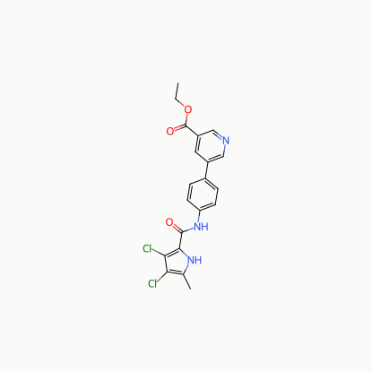 CCOC(=O)c1cncc(-c2ccc(NC(=O)c3[nH]c(C)c(Cl)c3Cl)cc2)c1